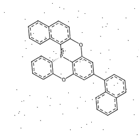 S=[P@@]12c3ccccc3Oc3cc(-c4cccc5ccccc45)cc(c31)Oc1ccc3ccccc3c12